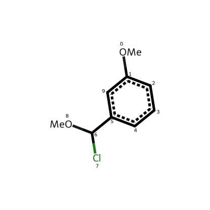 COc1cccc(C(Cl)OC)c1